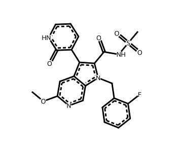 COc1cc2c(-c3ccc[nH]c3=O)c(C(=O)NS(C)(=O)=O)n(Cc3ccccc3F)c2cn1